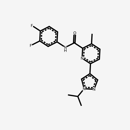 Cc1ccc(-c2cnn(C(C)C)c2)nc1C(=O)Nc1ccc(F)c(F)c1